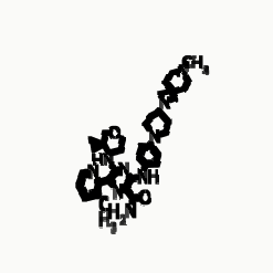 Cc1cccnc1-c1nc(C(N)=O)c(Nc2ccc(N3CCC(N4CC5(CCN(C)CC5)C4)CC3)cc2)nc1NC1CCOCC12CC2